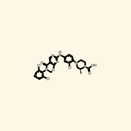 C[C@H]1CN(c2ccc(Nc3ncc4c(n3)OCN(c3c(Cl)cccc3Cl)C4=O)cc2Cl)CCN1C(=O)O